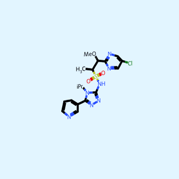 COC(c1ncc(Cl)cn1)C(C)S(=O)(=O)Nc1nnc(-c2cccnc2)n1C(C)C